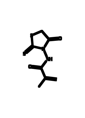 C=C(C)C(=O)NN1C(=O)CSC1=S